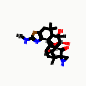 BNc1nc2c(s1)CC(C)(C)C1[C@H](O)[C@]3(O)OC[C@@]21C1CC[C@@H]2[C@@H](O)[C@@]13C(=O)C21CN1